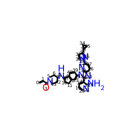 C=CC(=O)N1CCC(N[C@H]2CCc3cc(-n4c(-c5cccnc5N)nc5ccc(-n6ccc(C7CC7)n6)nc54)ccc32)CC1